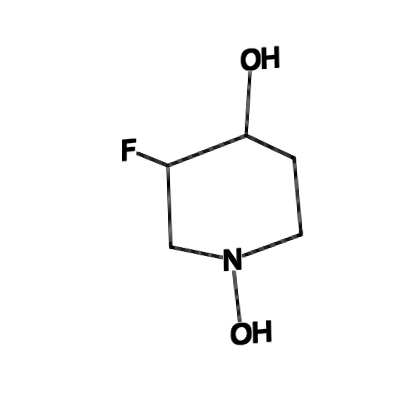 OC1CCN(O)CC1F